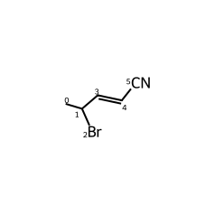 CC(Br)/C=C/C#N